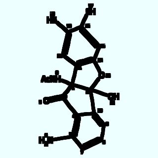 CC(=O)NC12C(=O)c3c(N)cccc3C1(O)Oc1cc(S)c(S)cc12